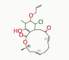 C=CCOC1C(C)C(O)=C2C(=O)O[C@H](C)C/C=C/CC/C=C/C(=O)CC2C1Cl